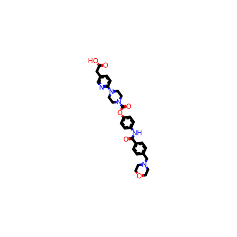 O=C(O)Cc1ccc(N2CCN(C(=O)Oc3ccc(NC(=O)c4ccc(CN5CCOCC5)cc4)cc3)CC2)nc1